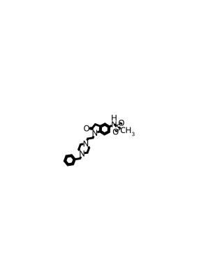 CS(=O)(=O)Nc1ccc2c(c1)CC(=O)N2CCN1CCN(Cc2ccccc2)CC1